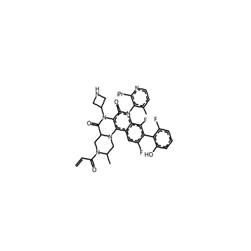 C=CC(=O)N1CC2C(=O)N(C3CNC3)c3c(c4cc(F)c(-c5c(O)cccc5F)c(F)c4n(-c4c(C)ccnc4C(C)C)c3=O)N2CC1C